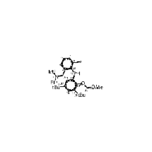 CCN(CC)Cc1cccc(C)c1Pc1cc(C(C)(C)C)cc(C(C)(C)C)c1OCOC